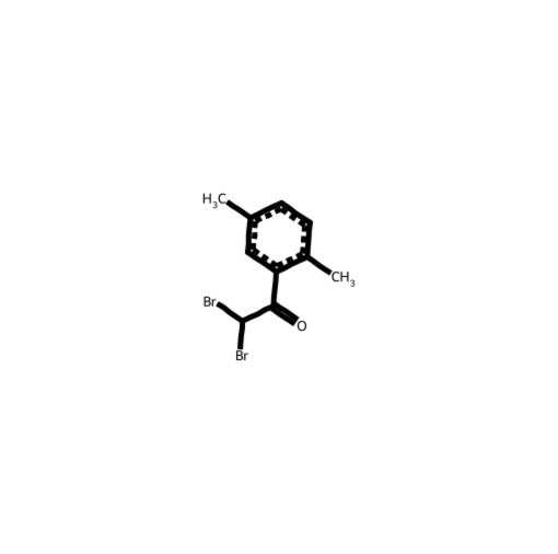 Cc1ccc(C)c(C(=O)C(Br)Br)c1